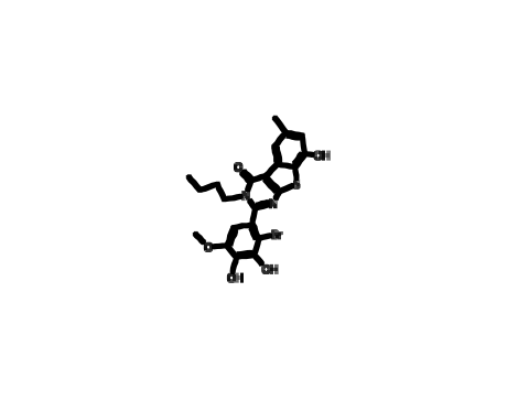 CCCCn1c(-c2cc(OC)c(O)c(O)c2Br)nc2sc3c(O)cc(C)cc3c2c1=O